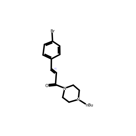 CCCCN1CCN(C(=O)/C=C/c2ccc(Br)cc2)CC1